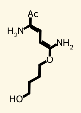 CC(=O)/C(N)=C/C=C(\N)OCCCCO